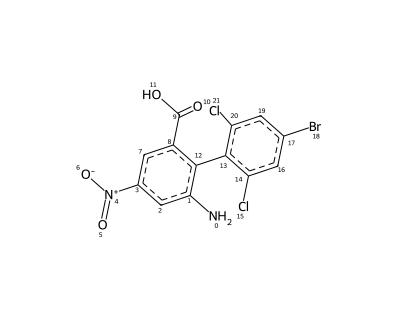 Nc1cc([N+](=O)[O-])cc(C(=O)O)c1-c1c(Cl)cc(Br)cc1Cl